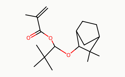 C=C(C)C(=O)OC(OC1C2CCC(C2)C1(C)C)C(C)(C)C